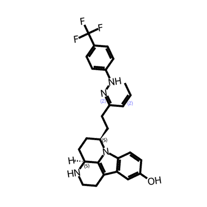 C/C=C\C(CC[C@@H]1CC[C@@H]2NCCc3c2n1c1ccc(O)cc31)=N/Nc1ccc(C(F)(F)F)cc1